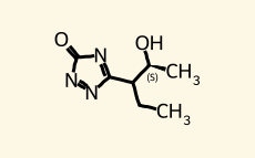 CCC(C1=NC(=O)N=N1)[C@H](C)O